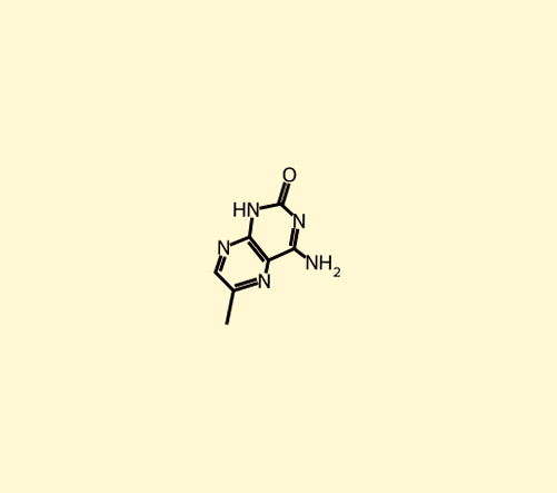 Cc1cnc2[nH]c(=O)nc(N)c2n1